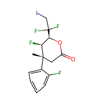 C[C@]1(c2ccccc2F)CC(=O)O[C@H](C(F)(F)CI)[C@@H]1F